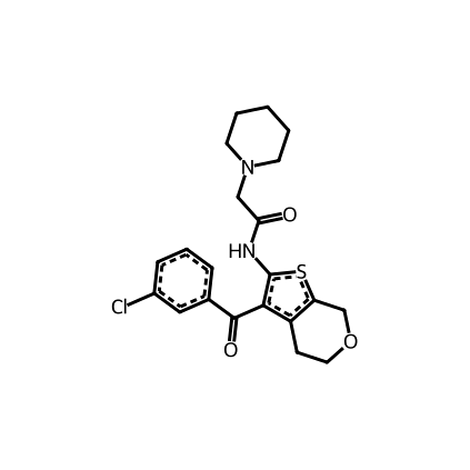 O=C(CN1CCCCC1)Nc1sc2c(c1C(=O)c1cccc(Cl)c1)CCOC2